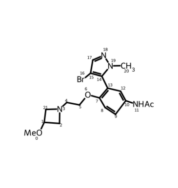 COC1CN(CCOc2ccc(NC(C)=O)cc2-c2c(Br)cnn2C)C1